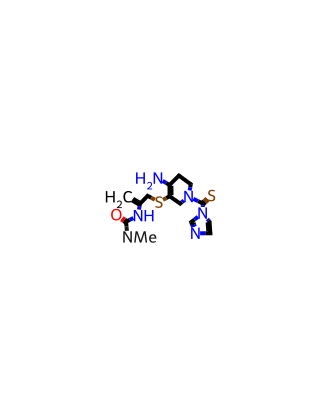 C=C(CSC1=C(N)CCN(C(=S)n2ccnc2)C1)NC(=O)NC